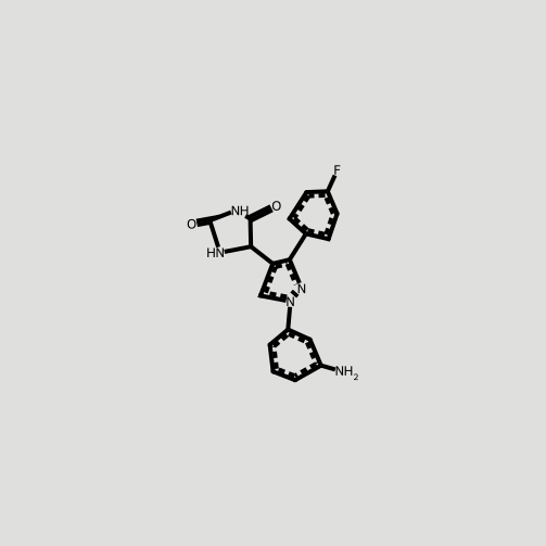 Nc1cccc(-n2cc(C3NC(=O)NC3=O)c(-c3ccc(F)cc3)n2)c1